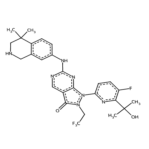 CC(C)(O)c1nc(-n2c3nc(Nc4ccc5c(c4)CNCC5(C)C)ncc3c(=O)n2CC(F)(F)F)ccc1F